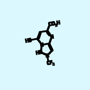 O=C(O)C1=NC2=CN(C(F)(F)F)NN2C(S)=C1